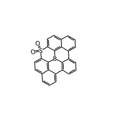 O=S1(=O)c2ccc3cccc4c3c2B2c3c-4cccc3-c3cccc4ccc1c2c34